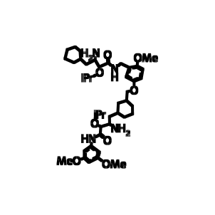 COc1cc(NC(=O)C(OC(C)C)C(N)CC2CCCC(COc3ccc(OC)c(CNC(=O)C(OC(C)C)[C@H](N)CC4CCCCC4)c3)C2)cc(OC)c1